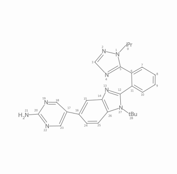 CC(C)n1ncnc1-c1ccccc1-c1nc2cc(-c3cnc(N)nc3)ccc2n1C(C)(C)C